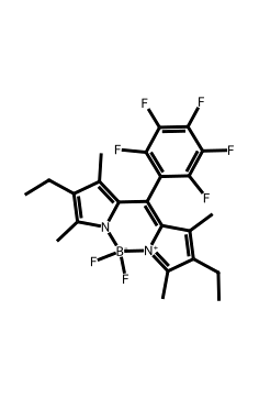 CCC1=C(C)C2=C(c3c(F)c(F)c(F)c(F)c3F)c3c(C)c(CC)c(C)n3[B-](F)(F)[N+]2=C1C